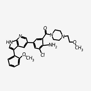 COCCN1CCN(C(=O)c2cc(-c3cnc4[nH]cc(-c5ccccc5OC)c4c3)cc(Cl)c2N)CC1